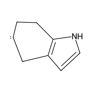 [C]1CCc2[nH]ccc2C1